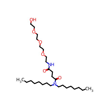 CCCCCCCCN(CCCCCCCC)C(=O)CCC(=O)NCCOCCOCCOCCO